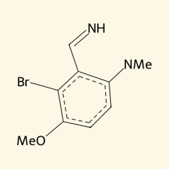 CNc1ccc(OC)c(Br)c1C=N